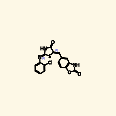 O=C1N/C(=N/c2ccccc2Cl)S/C1=C\c1ccc2oc(=O)[nH]c2c1